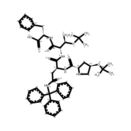 C[C@@H](OC(C)(C)C)[C@H](NC(=O)[C@H](CC(=O)NC(c1ccccc1)(c1ccccc1)c1ccccc1)NC(=O)[C@@H]1C[C@@H](OC(C)(C)C)CN1)C(=O)N[C@@H](Cc1ccccc1)C(=O)O